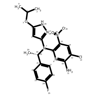 CC(C)Oc1cc(N(c2nc(N)c(Cl)cc2[N+](=O)[O-])[C@@H](C)c2ccc(F)cc2)n[nH]1